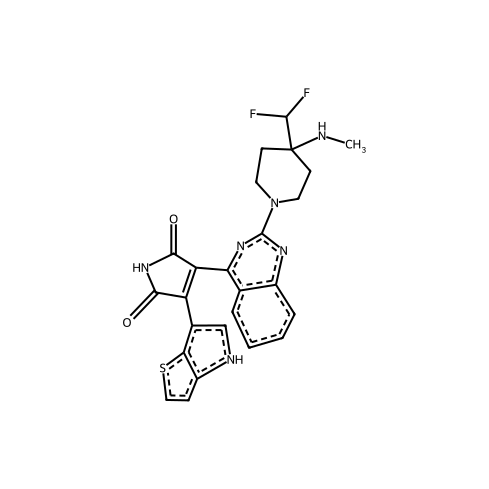 CNC1(C(F)F)CCN(c2nc(C3=C(c4c[nH]c5ccsc45)C(=O)NC3=O)c3ccccc3n2)CC1